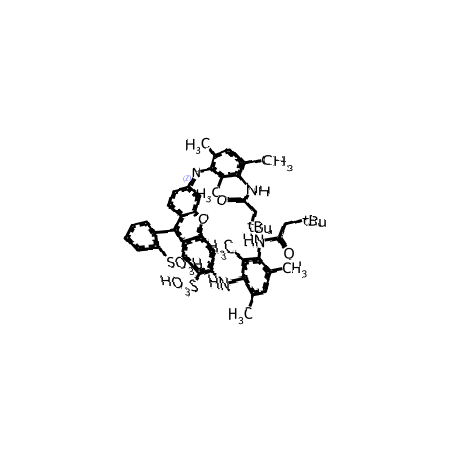 Cc1cc(C)c(NC(=O)CC(C)(C)C)c(C)c1/N=c1/ccc2c(-c3ccccc3S(=O)(=O)O)c3cc(S(=O)(=O)O)c(Nc4c(C)cc(C)c(NC(=O)CC(C)(C)C)c4C)cc3oc-2c1